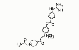 Cl.Cl.N=C(N)Nc1ccc(C(=O)Oc2ccc(/C=C/C(=O)N3CCN(CC(N)=O)CC3)cc2)cc1